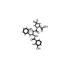 Cc1c(O)cccc1C(=O)NC(Cc1ccccc1)C(O)C(=O)N1CC(F)(F)CC1C(=O)O